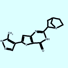 Cc1[nH]ncc1-c1cc2nc(C3CC4CCN3C4)[nH]c(=O)c2s1